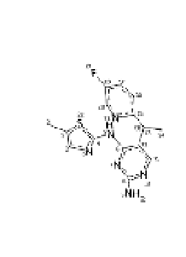 Cc1cnc(Nc2nc(N)ncc2[C@H](C)c2ccc(F)cn2)s1